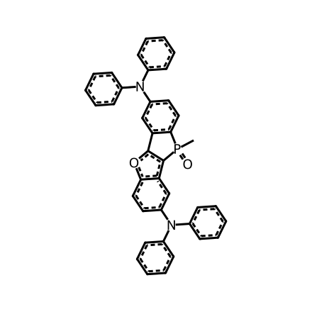 CP1(=O)c2ccc(N(c3ccccc3)c3ccccc3)cc2-c2oc3ccc(N(c4ccccc4)c4ccccc4)cc3c21